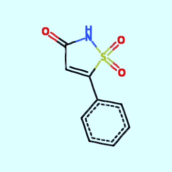 O=C1C=C(c2ccccc2)S(=O)(=O)N1